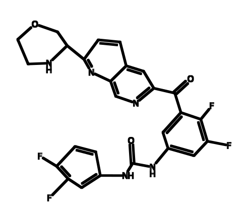 O=C(Nc1ccc(F)c(F)c1)Nc1cc(F)c(F)c(C(=O)c2cc3ccc(C4COCCN4)nc3cn2)c1